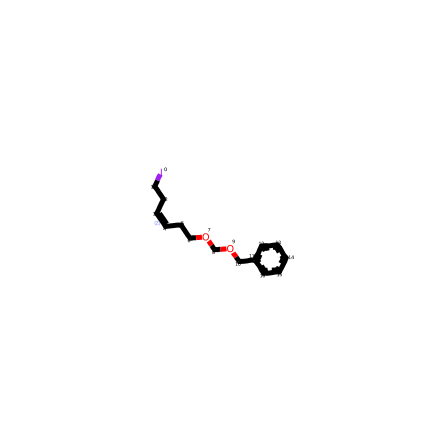 ICC/C=C\CCOCOCc1ccccc1